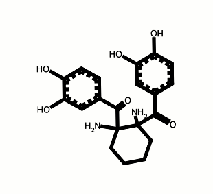 NC1(C(=O)c2ccc(O)c(O)c2)CCCCC1(N)C(=O)c1ccc(O)c(O)c1